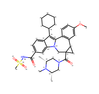 COc1ccc2c(c1)C1CC1(C(=O)N1C[C@@H](C)N(C)[C@@H](C)C1)Cn1c-2c(C2CCCCC2)c2ccc(C(=O)NS(C)(=O)=O)cc21